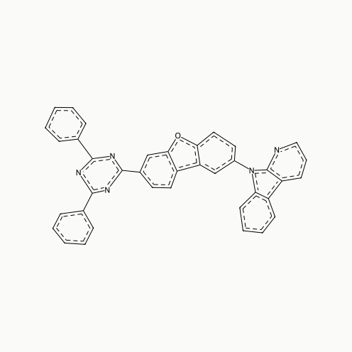 c1ccc(-c2nc(-c3ccccc3)nc(-c3ccc4c(c3)oc3ccc(-n5c6ccccc6c6cccnc65)cc34)n2)cc1